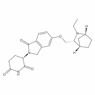 CCN1[C@@H]2CC[C@@H](C2)[C@@H]1COc1ccc2c(c1)CN([C@@H]1CCC(=O)NC1=O)C2=O